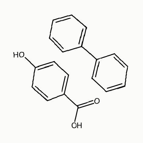 O=C(O)c1ccc(O)cc1.c1ccc(-c2ccccc2)cc1